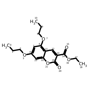 CCCOc1cc(OCCC)c2cc(C(=O)OCC)c(=O)oc2c1